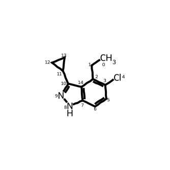 CCc1c(Cl)ccc2[nH]nc(C3CC3)c12